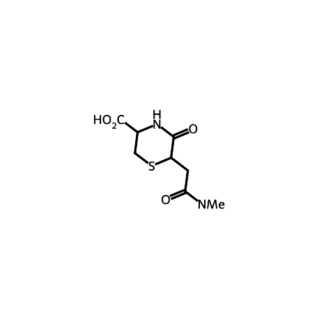 CNC(=O)CC1SCC(C(=O)O)NC1=O